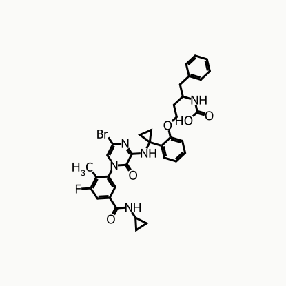 Cc1c(F)cc(C(=O)NC2CC2)cc1-n1cc(Br)nc(NC2(c3ccccc3OCCC(Cc3ccccc3)NC(=O)O)CC2)c1=O